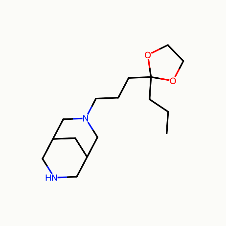 CCCC1(CCCN2CC3CNCC(C3)C2)OCCO1